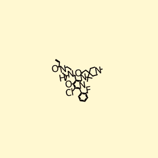 C=CC(=O)N1CCN2C(=O)c3c(N4CCC5(CCN(C)CC5)C4(C)C)nc(-c4ccccc4F)c(Cl)c3OC[C@H]2C1